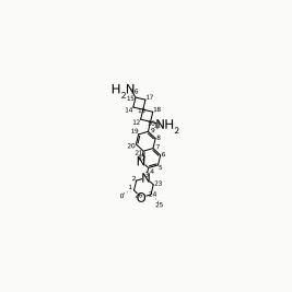 C[C@@H]1CN(c2ccc3cc(C4(N)CC5(CC(N)C5)C4)ccc3n2)C[C@H](C)O1